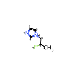 CC(F)Cn1ccnc1